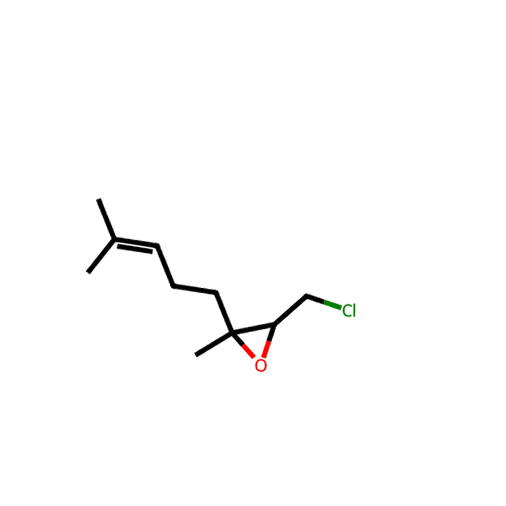 CC(C)=CCCC1(C)OC1CCl